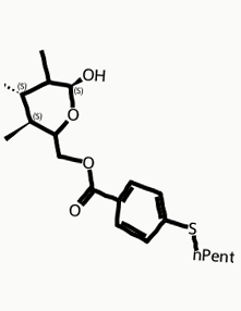 CCCCCSc1ccc(C(=O)OCC2O[C@H](O)C(C)[C@@H](C)[C@@H]2C)cc1